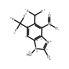 O=[N+]([O-])c1c(C(F)F)c(C(F)(F)F)cc2c1nc(Cl)n2O